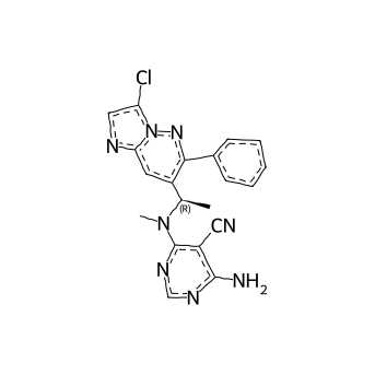 C[C@H](c1cc2ncc(Cl)n2nc1-c1ccccc1)N(C)c1ncnc(N)c1C#N